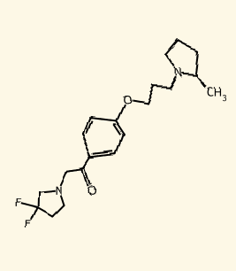 C[C@@H]1CCCN1CCCOc1ccc(C(=O)CN2CCC(F)(F)C2)cc1